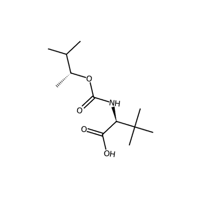 CC(C)[C@@H](C)OC(=O)N[C@H](C(=O)O)C(C)(C)C